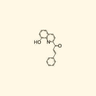 O=C(C=Cc1ccccc1)c1ccc2cccc(O)c2n1